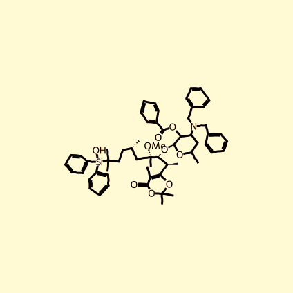 CO[C@](C)(C[C@@H](C)CCC(C)(C)[Si](O)(c1ccccc1)c1ccccc1)[C@H](O[C@@H]1OC(C)CC(N(Cc2ccccc2)Cc2ccccc2)C1OC(=O)c1ccccc1)[C@@H](C)C1=C(C)C(=O)OC(C)(C)O1